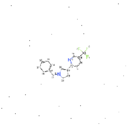 FC(F)(F)c1ccc(C2CCN(CC3=CC=CCC3)C2)nc1